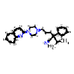 CC(C)C(C#N)(CCCN1CCN(c2ccc3ccccc3n2)CC1)c1ccccc1